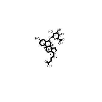 C[C@H](CCC(=O)O)[C@H]1CC[C@H]2[C@@H]3C[C@H](OC4O[C@H](C(=O)O)[C@@H](O)[C@H](O)[C@H]4O)C4C[C@H](O)CC[C@]4(C)[C@H]3CC[C@]12C